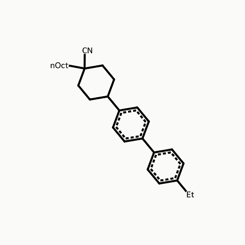 CCCCCCCCC1(C#N)CCC(c2ccc(-c3ccc(CC)cc3)cc2)CC1